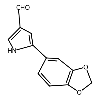 O=Cc1c[nH]c(-c2ccc3c(c2)OCO3)c1